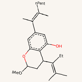 CCCCC/C(C)=C(\C)c1cc(O)c2c(c1)OC(OC)CC2C(CC)=C(C)C